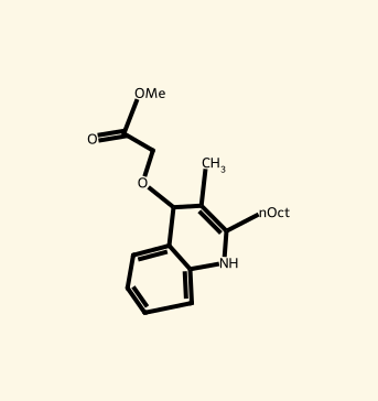 CCCCCCCCC1=C(C)C(OCC(=O)OC)c2ccccc2N1